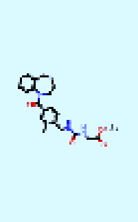 Cc1cc(C(=O)N2CCCCc3ccccc32)ccc1CNC(=O)NCC(=O)OC(C)(C)C